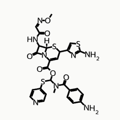 CO/N=C\C(=O)NC1C(=O)N2C(C(=O)OC(Sc3ccncc3)N(C)C(=O)c3ccc(N)cc3)=CC(c3csc(N)n3)S[C@@H]12